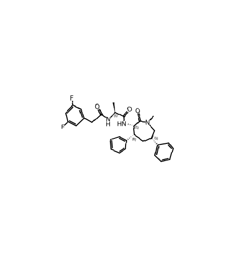 C[C@H](NC(=O)Cc1cc(F)cc(F)c1)C(=O)N[C@@H]1C(=O)N(C)C[C@H](c2ccccc2)C[C@@H]1c1ccccc1